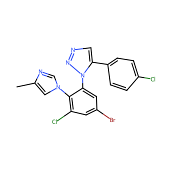 Cc1cn(-c2c(Cl)cc(Br)cc2-n2nncc2-c2ccc(Cl)cc2)cn1